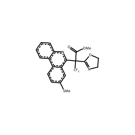 COC(=O)C(C1=NCCO1)(c1nc2ccccc2c2ccc(SC)cc12)C(F)(F)F